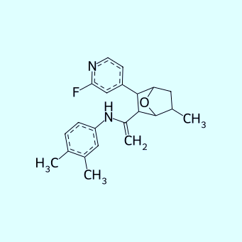 C=C(Nc1ccc(C)c(C)c1)C1C2OC(CC2C)C1c1ccnc(F)c1